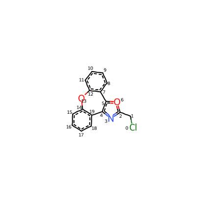 ClCc1nc2c(o1)-c1ccccc1Oc1ccccc1-2